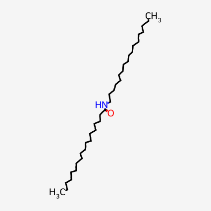 CCCCCCCCCCCCCCCCCCNC(=O)CCCCCCCCCCCCCCCCC